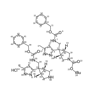 Cc1nnc(C2(CNC(=O)OCc3ccccc3)[C@@H]3CN(C(=O)OC(C)(C)C)C[C@@H]32)s1.Cc1nnc(C2(CNC(=O)OCc3ccccc3)[C@@H]3CNC[C@@H]32)s1.Cl